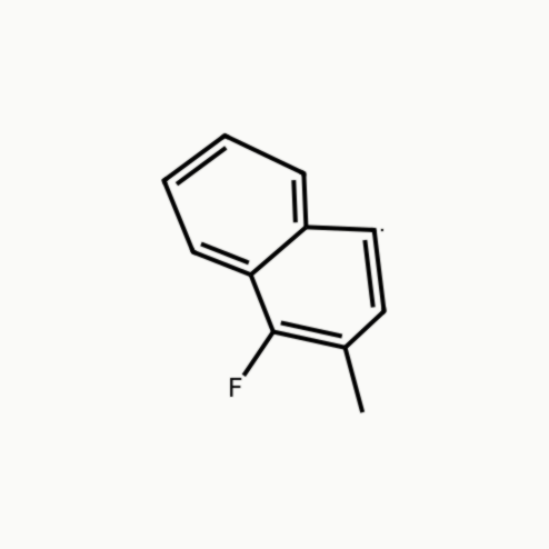 Cc1c[c]c2ccccc2c1F